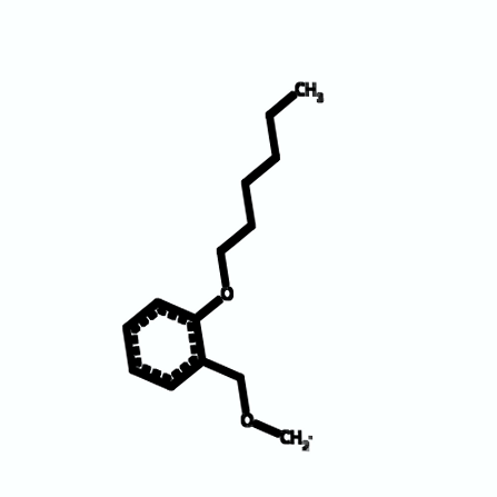 [CH2]OCc1ccccc1OCCCCCC